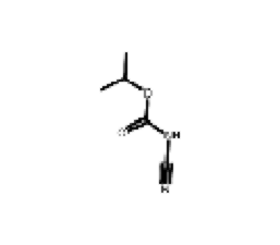 CC(C)OC(=O)NC#N